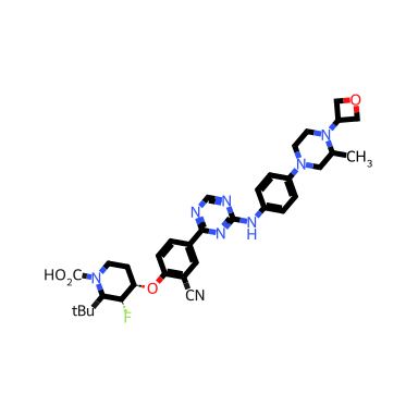 CC1CN(c2ccc(Nc3ncnc(-c4ccc(O[C@H]5CCN(C(=O)O)C(C(C)(C)C)[C@H]5F)c(C#N)c4)n3)cc2)CCN1C1COC1